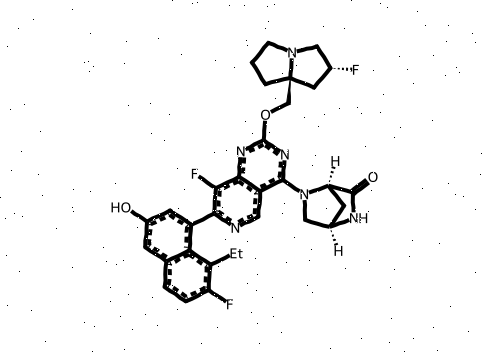 CCc1c(F)ccc2cc(O)cc(-c3ncc4c(N5C[C@H]6C[C@@H]5C(=O)N6)nc(OC[C@@]56CCCN5C[C@H](F)C6)nc4c3F)c12